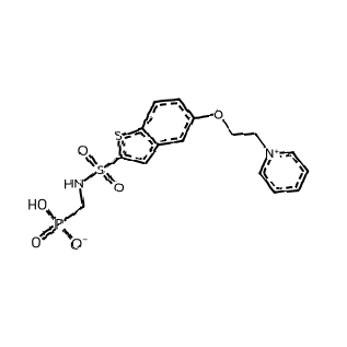 O=P([O-])(O)CNS(=O)(=O)c1cc2cc(OCC[n+]3ccccc3)ccc2s1